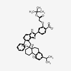 CC(C)c1ccc2c(c1)CC[C@H]1[C@@](C)(Cc3c(-c4ccccc4)ccc4[nH]c(-c5ccc([N+](=O)[O-])c(OCC(=O)OC(C)(C)C)c5)nc34)CCC[C@]21C